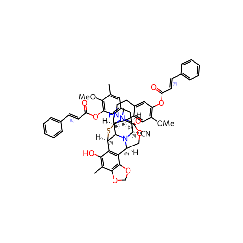 COc1cc2c(cc1OC(=O)/C=C/c1ccccc1)CCN[C@]21CS[C@@H]2c3c(O)c(C)c4c(c3[C@H](COC1=O)N1C2[C@H]2c3c(cc(C)c(OC)c3OC(=O)/C=C/c3ccccc3)C[C@@H]([C@@H]1C#N)N2C)OCO4